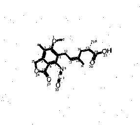 COc1c(C)c2c(c(N=C=O)c1CC=C(C)C[C@H](C)C(=O)O)C(=O)OC2